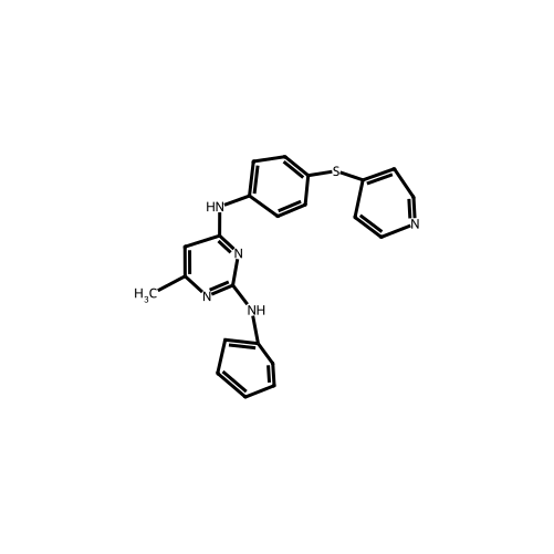 Cc1cc(Nc2ccc(Sc3ccncc3)cc2)nc(Nc2ccccc2)n1